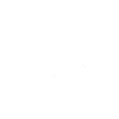 CCN(CC)C(=O)Oc1ccccc1C(=O)c1ccc([N+](=O)[O-])cc1